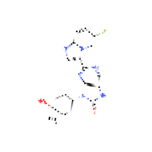 C[C@]1(O)CC[C@H](n2c(=O)[nH]c3cnc(-c4cnc5ccc(F)cn45)nc32)CC1